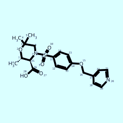 C[C@@H]1OC(C)(C)CN(S(=O)(=O)c2ccc(OCc3ccncc3)cc2)[C@H]1C(=O)O